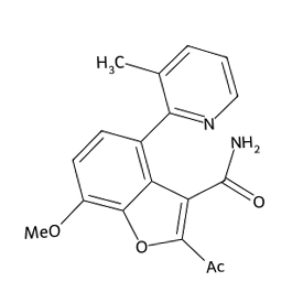 COc1ccc(-c2ncccc2C)c2c(C(N)=O)c(C(C)=O)oc12